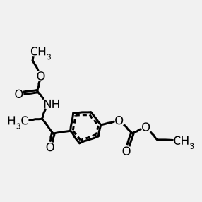 CCOC(=O)NC(C)C(=O)c1ccc(OC(=O)OCC)cc1